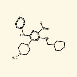 CN1CCN(c2cc(NCC3CCCCC3)c([N+](=O)[O-])cc2Nc2ccccc2)CC1